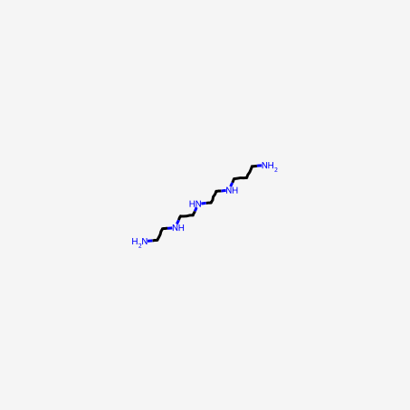 NCCCNCCNCCNCCN